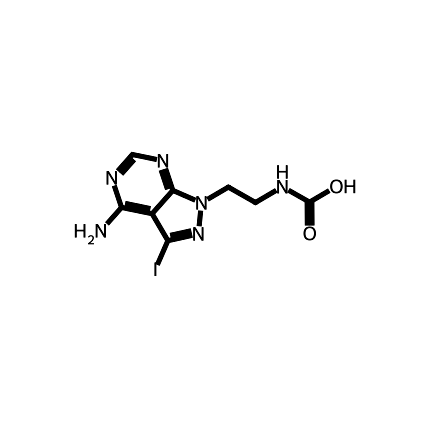 Nc1ncnc2c1c(I)nn2CCNC(=O)O